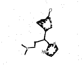 CN(C)CCC(c1ccc(Cl)cc1)c1ncc[nH]1